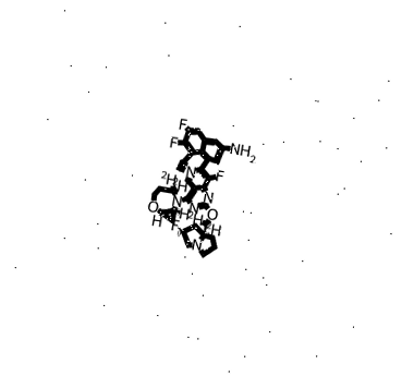 [2H]C1([2H])CCO[C@H]2C[C@H]2N1c1nc(OC([2H])([2H])[C@@]23CCCN2C[C@H](F)C3)nc2c(F)c(-c3cc(N)cc4cc(F)c(F)c(C#C)c34)ncc12